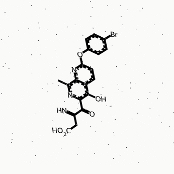 Cc1nc(C(=O)C(=N)CC(=O)O)c(O)c2ccc(Oc3ccc(Br)cc3)nc12